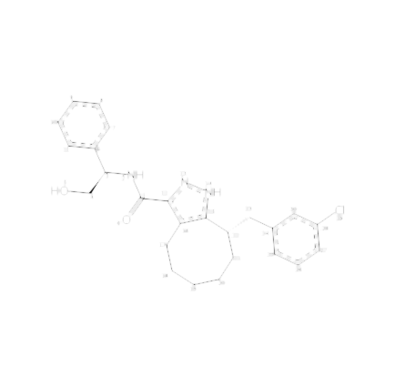 O=C(N[C@@H](CO)c1ccccc1)c1n[nH]c2c1CCCCC[C@H]2Cc1cccc(Cl)c1